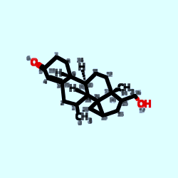 CC1CC2=CC(=O)CC[C@@H]2[C@H]2CC[C@]3(C)C(CO)CC4CC43[C@H]12